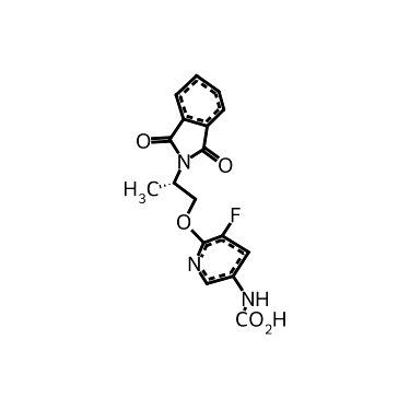 C[C@@H](COc1ncc(NC(=O)O)cc1F)N1C(=O)c2ccccc2C1=O